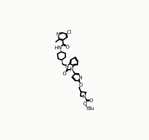 Cc1ncc(Cl)cc1C(=O)N[C@H]1CC[C@H](Cn2c(=O)n(-c3ccc(OCC4CN(C(=O)OC(C)(C)C)C4)nc3)c3ccccc32)CC1